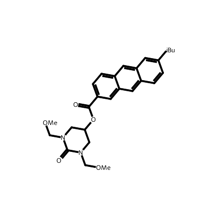 CCC(C)c1ccc2cc3cc(C(=O)OC4CN(COC)C(=O)N(COC)C4)ccc3cc2c1